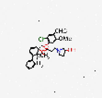 COc1cc(OC[C@@]2(OCCCN3CCC(O)C3)C=CC=C(c3ccccc3)C2(C)C)c(Cl)cc1C=O